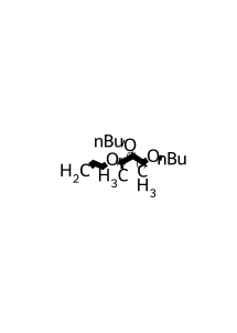 C=CCO[C@H](C)[C@H](OCCCC)[C@H](C)OCCCC